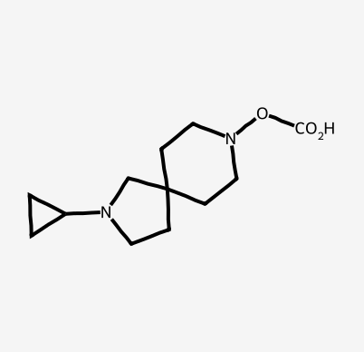 O=C(O)ON1CCC2(CC1)CCN(C1CC1)C2